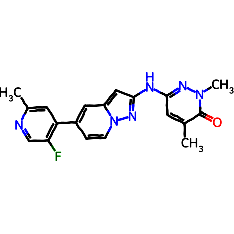 Cc1cc(-c2ccn3nc(Nc4cc(C)c(=O)n(C)n4)cc3c2)c(F)cn1